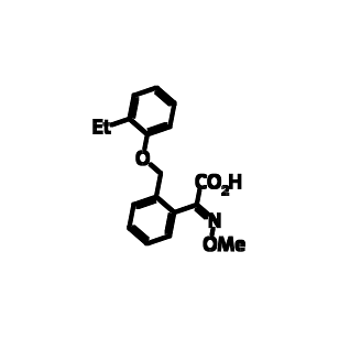 CCc1ccccc1OCc1ccccc1/C(=N\OC)C(=O)O